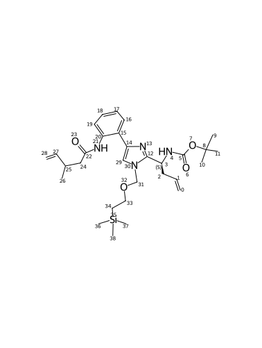 C=CC[C@H](NC(=O)OC(C)(C)C)c1nc(-c2ccccc2NC(=O)CC(C)C=C)cn1COCC[Si](C)(C)C